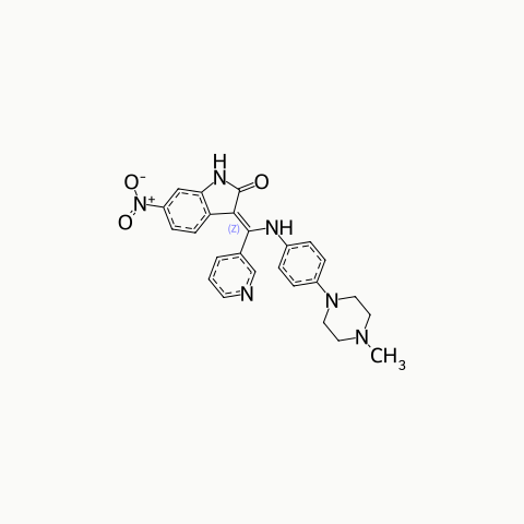 CN1CCN(c2ccc(N/C(=C3\C(=O)Nc4cc([N+](=O)[O-])ccc43)c3cccnc3)cc2)CC1